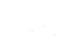 CCc1c(Nc2cc(C)cc(C)c2)[nH]c(=O)[nH]c1=O